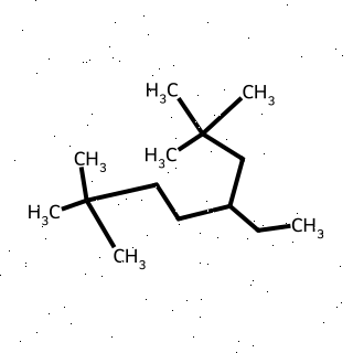 CCC(CCC(C)(C)C)CC(C)(C)C